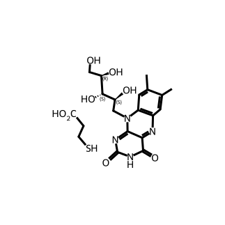 Cc1cc2nc3c(=O)[nH]c(=O)nc-3n(C[C@H](O)[C@H](O)[C@H](O)CO)c2cc1C.O=C(O)CCS